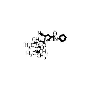 CC(C)N(CC(=O)N1CC(C(=O)Nc2ccccc2)CC1C#N)C(=O)OC(C)(C)C